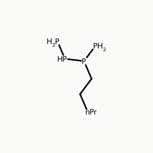 CCCCCP(P)PP